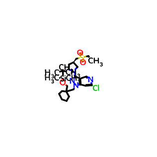 CCS(=O)(=O)C[C@@H]1CCN(c2nn(CC3(CO[Si](C)(C)C(C)(C)C)CCCCC3)c3cc(Cl)ncc23)C1